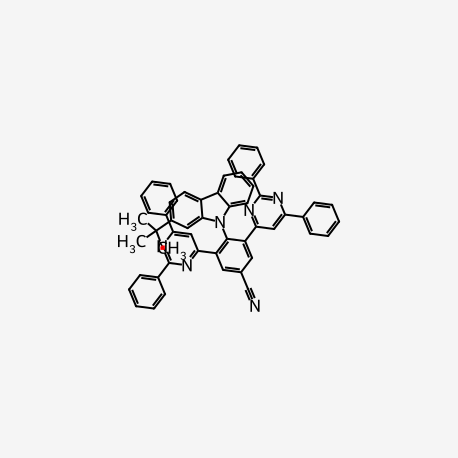 CC(C)(C)c1ccc2c3ccccc3n(-c3c(-c4cc(-c5ccccc5)nc(-c5ccccc5)n4)cc(C#N)cc3-c3cc(-c4ccccc4)nc(-c4ccccc4)n3)c2c1